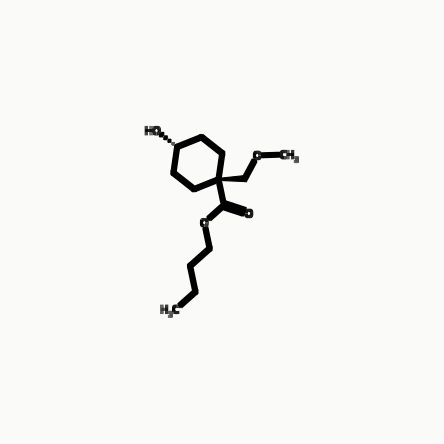 CCCCOC(=O)[C@]1(COC)CC[C@H](O)CC1